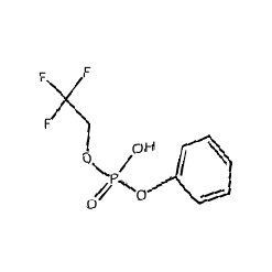 O=P(O)(OCC(F)(F)F)Oc1ccccc1